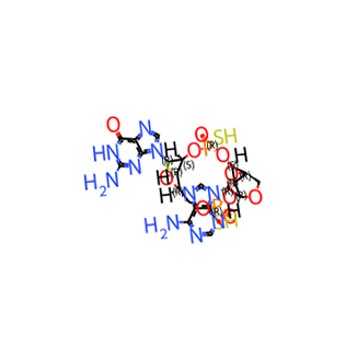 Nc1nc2c(ncn2[C@@H]2O[C@@H]3CO[P@@](=O)(S)O[C@]45[C@@H](O[P@@](=O)(S)O[C@@H]2[C@@H]3F)[C@]42CO[C@H]5[C@H](n3cnc4c(N)ncnc43)O2)c(=O)[nH]1